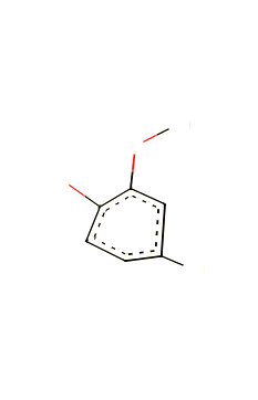 COc1cc(C)[c]cc1O